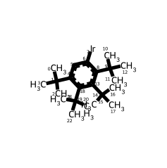 CC(C)(C)c1c[c]([Ir])c(C(C)(C)C)c(C(C)(C)C)c1C(C)(C)C